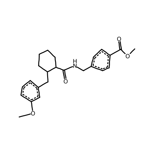 COC(=O)c1ccc(CNC(=O)C2CCCCC2Cc2cccc(OC)c2)cc1